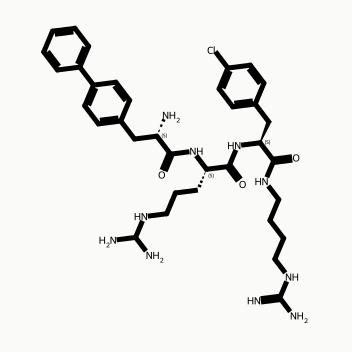 N=C(N)NCCCCNC(=O)[C@H](Cc1ccc(Cl)cc1)NC(=O)[C@H](CCCNC(N)N)NC(=O)[C@@H](N)Cc1ccc(-c2ccccc2)cc1